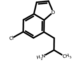 CC(N)Cc1cc(Cl)cc2ccoc12